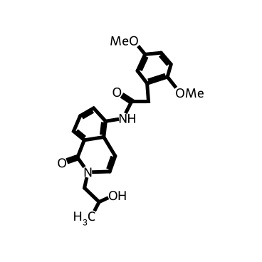 COc1ccc(OC)c(CC(=O)Nc2cccc3c(=O)n(CC(C)O)ccc23)c1